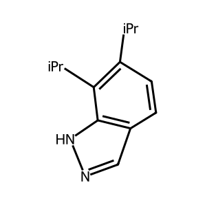 CC(C)c1ccc2cn[nH]c2c1C(C)C